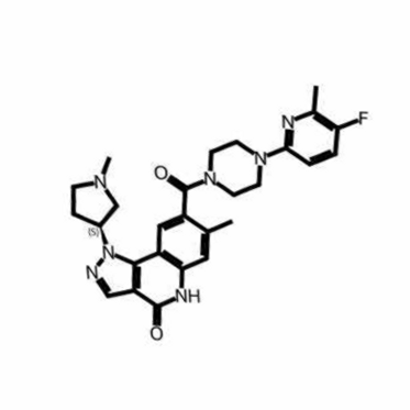 Cc1cc2[nH]c(=O)c3cnn([C@H]4CCN(C)C4)c3c2cc1C(=O)N1CCN(c2ccc(F)c(C)n2)CC1